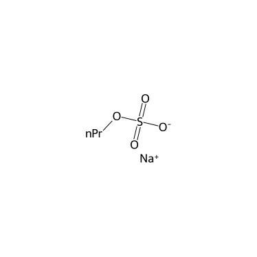 CCCOS(=O)(=O)[O-].[Na+]